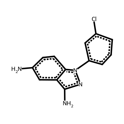 Nc1ccc2c(c1)c(N)nn2-c1cccc(Cl)c1